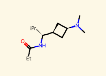 CCC(=O)N[C@H](C(C)C)[C@H]1C[C@@H](N(C)C)C1